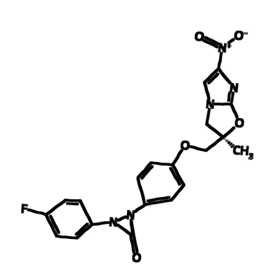 C[C@]1(COc2ccc(N3C(=O)N3c3ccc(F)cc3)cc2)Cn2cc([N+](=O)[O-])nc2O1